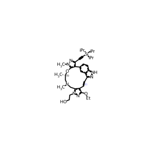 CCOc1nn(CCO)c2c1/C=C/c1n[nH]c3ccc(cc13)-c1c(C#C[Si](C(C)C)(C(C)C)C(C)C)nn(C)c1O[C@@H](C)CN(C)C2